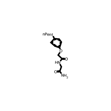 CCCCCc1ccc(OCC(=O)NCC(N)=O)cc1